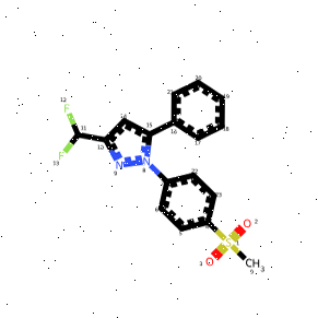 CS(=O)(=O)c1ccc(-n2nc(C(F)F)cc2-c2ccccc2)cc1